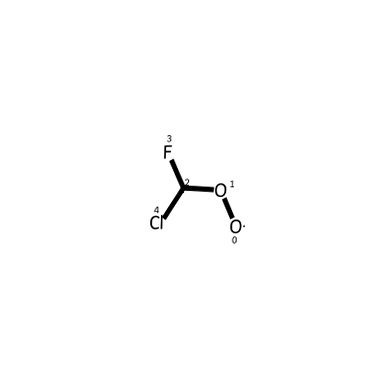 [O]O[C](F)Cl